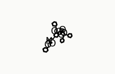 CN(CCc1ccc(OP(=O)(OCc2ccccc2)OCc2ccccc2)c(OCc2ccccc2)c1)C(=O)OCc1ccccc1